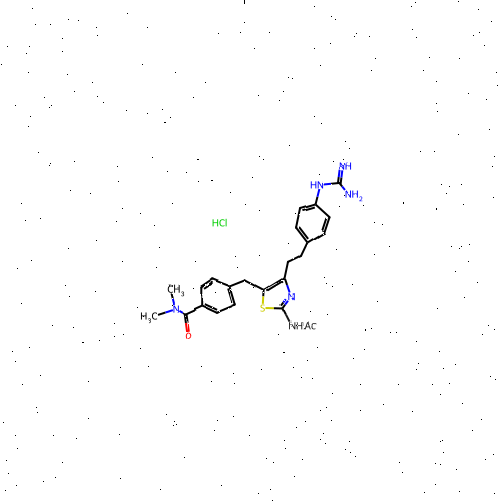 CC(=O)Nc1nc(CCc2ccc(NC(=N)N)cc2)c(Cc2ccc(C(=O)N(C)C)cc2)s1.Cl